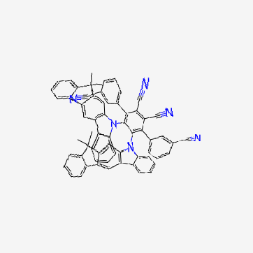 CC1(C)c2ccccc2-c2cc3c4ccccc4n(-c4c(-c5cccc(C#N)c5)c(C#N)c(C#N)c(-c5cccc(C#N)c5)c4-n4c5ccccc5c5cc6c(cc54)C(C)(C)c4ccccc4-6)c3cc21